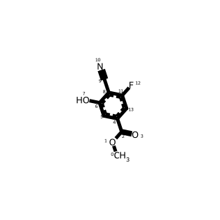 COC(=O)c1cc(O)c(C#N)c(F)c1